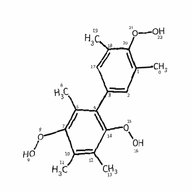 Cc1cc(-c2c(C)c(OO)c(C)c(C)c2OO)cc(C)c1OO